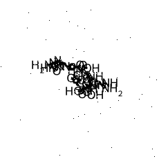 CN1C(=O)CC(SC[C@H](NC(=O)[C@H](CC(=O)O)NC(=O)[C@H](CCCNC(=N)N)NC(=O)CC[C@H](NC(=O)c2ccc(NCc3cnc4nc(N)[nH]c(=O)c4n3)cc2)C(=O)O)C(=O)O)C1=O